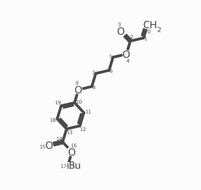 C=CC(=O)OCCCCOc1ccc(C(=O)OC(C)CC)cc1